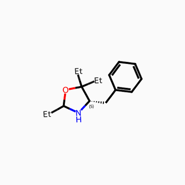 CCC1N[C@@H](Cc2ccccc2)C(CC)(CC)O1